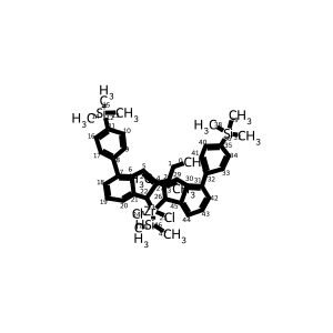 CCC(C)C1=Cc2c(-c3ccc([Si](C)(C)C)cc3)cccc2[CH]1[Zr]([Cl])([Cl])([CH]1C(C)=Cc2c(-c3ccc([Si](C)(C)C)cc3)cccc21)[SiH](C)C